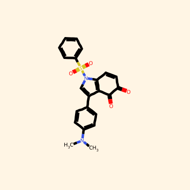 CN(C)c1ccc(-c2cn(S(=O)(=O)c3ccccc3)c3c2C(=O)C(=O)C=C3)cc1